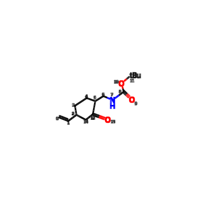 C=CC1CCC(CNC(=O)OC(C)(C)C)C(=O)C1